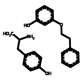 NC(Cc1ccc(O)cc1)C(=O)O.Oc1cccc(OCCc2ccccc2)c1